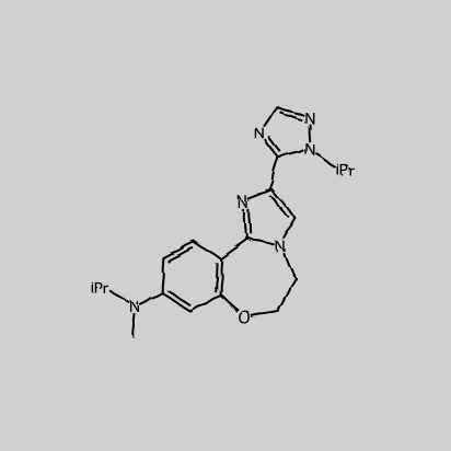 CC(C)N(C)c1ccc2c(c1)OCCn1cc(-c3ncnn3C(C)C)nc1-2